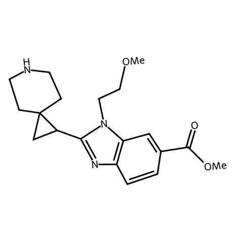 COCCn1c(C2CC23CCNCC3)nc2ccc(C(=O)OC)cc21